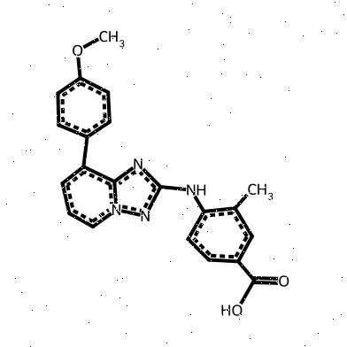 COc1ccc(-c2cccn3nc(Nc4ccc(C(=O)O)cc4C)nc23)cc1